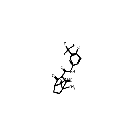 CC12CCC(C(=O)C(C(=O)Nc3ccc(Cl)c(C(F)(F)F)c3)C1=O)C2(C)C